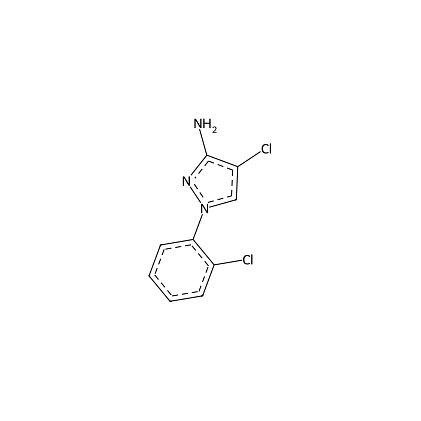 Nc1nn(-c2ccccc2Cl)cc1Cl